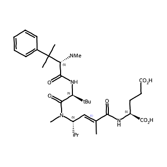 CN[C@H](C(=O)N[C@H](C(=O)N(C)[C@H](/C=C(\C)C(=O)N[C@@H](CCC(=O)O)C(=O)O)C(C)C)C(C)(C)C)C(C)(C)c1ccccc1